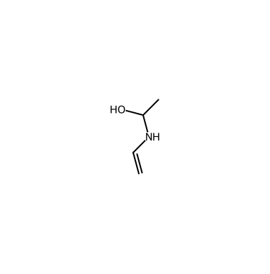 C=CNC(C)O